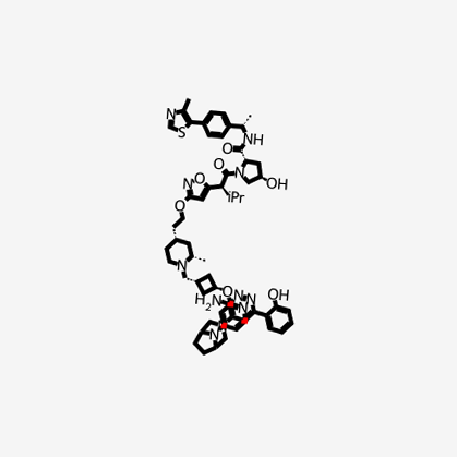 Cc1ncsc1-c1ccc([C@H](C)NC(=O)[C@@H]2C[C@@H](O)CN2C(=O)[C@H](c2cc(OCC[C@H]3CCN(C[C@H]4C[C@H](Oc5cc(N6C7CCC6CN(c6cc(-c8ccccc8O)nnc6N)C7)ccn5)C4)[C@@H](C)C3)no2)C(C)C)cc1